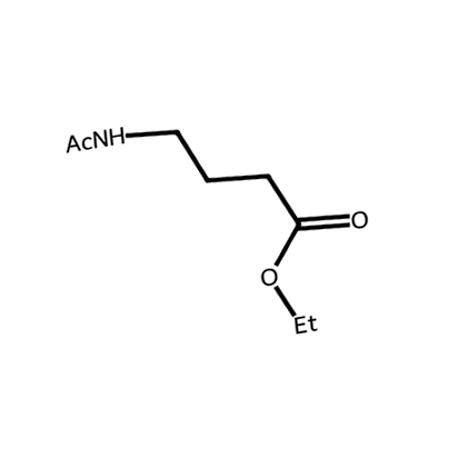 [CH2]C(=O)NCCCC(=O)OCC